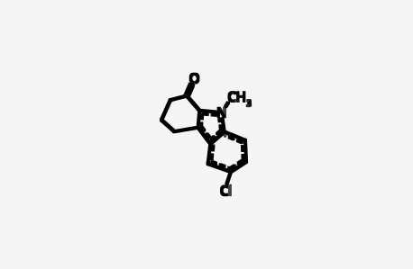 Cn1c2c(c3cc(Cl)ccc31)CCCC2=O